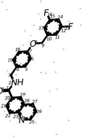 O=C(NCc1ccc(OCc2cc(F)cc(F)c2)cc1)c1ccc2ncccc2c1